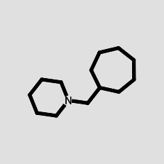 C1CCCC(CN2CCCCC2)CC1